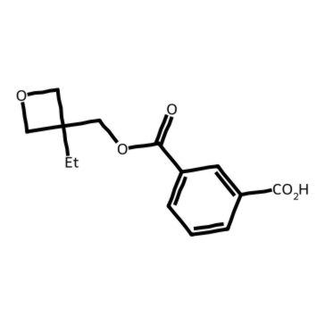 CCC1(COC(=O)c2cccc(C(=O)O)c2)COC1